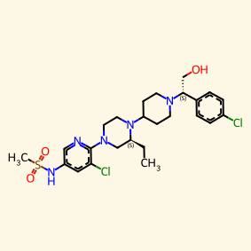 CC[C@H]1CN(c2ncc(NS(C)(=O)=O)cc2Cl)CCN1C1CCN([C@H](CO)c2ccc(Cl)cc2)CC1